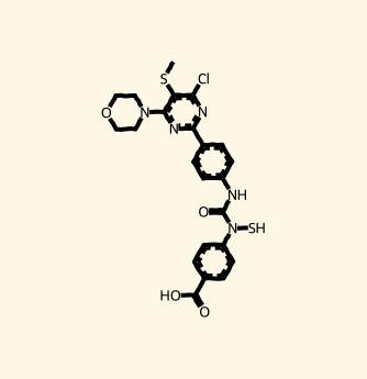 CSc1c(Cl)nc(-c2ccc(NC(=O)N(S)c3ccc(C(=O)O)cc3)cc2)nc1N1CCOCC1